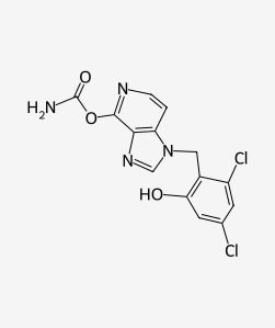 NC(=O)Oc1nccc2c1ncn2Cc1c(O)cc(Cl)cc1Cl